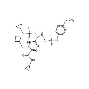 CSc1ccc(OC(F)(F)CN[C@@H](CC(F)(F)CC2CC2)C(=O)N[C@@H](CC2CCC2)C(=O)C(=O)NC2CC2)cc1